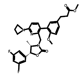 COC(=O)CCc1ccc(OC)c(-c2ccc(N3CCC3)nc2CN2C(=O)O[C@H](c3cc(F)cc(F)c3)[C@@H]2C)c1